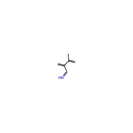 C=C(C)C(=C)C=N